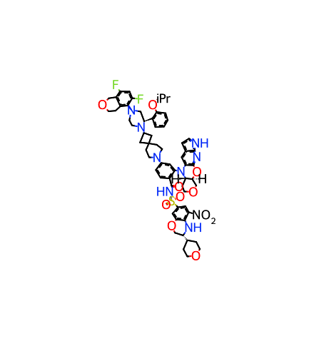 CC(C)Oc1ccccc1[C@@H]1CN(c2c(F)cc(F)c3c2CCOC3)CCN1C1CC2(CCN(c3ccc(C(=O)NS(=O)(=O)c4cc5c(c([N+](=O)[O-])c4)N[C@H](C4CCOCC4)CO5)c(N4c5cc6cc[nH]c6nc5O[C@H]5COCC[C@@H]54)c3)CC2)C1